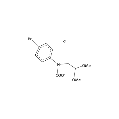 COC(CN(C(=O)[O-])c1ccc(Br)cc1)OC.[K+]